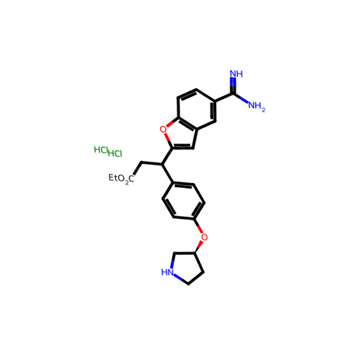 CCOC(=O)CC(c1ccc(O[C@H]2CCNC2)cc1)c1cc2cc(C(=N)N)ccc2o1.Cl.Cl